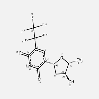 C[C@H]1O[C@@H](n2cc(C(F)(F)C(F)(F)F)c(=O)[nH]c2=O)C[C@@H]1O